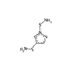 NSc1cnn(SN)c1